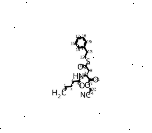 C=CCCC(=O)N[C@@H](CC(=O)SCCc1ccccc1)C(=O)OCC#N